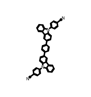 N#Cc1ccc(-n2c3ccccc3c3cc(-c4ccc(-c5ccc6c(c5)c5ccccc5n6-c5ccc(C#N)cc5)cc4)ccc32)cc1